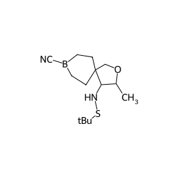 CC1OCC2(CCB(C#N)CC2)C1NSC(C)(C)C